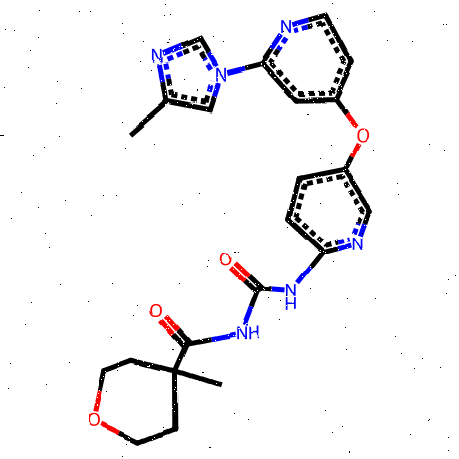 Cc1cn(-c2cc(Oc3ccc(NC(=O)NC(=O)C4(C)CCOCC4)nc3)ccn2)cn1